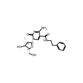 C[C@H]1C(O)[C@@H](CO)O[C@H]1n1cc(C(=O)NCCc2ccccc2)c(N)nc1=O